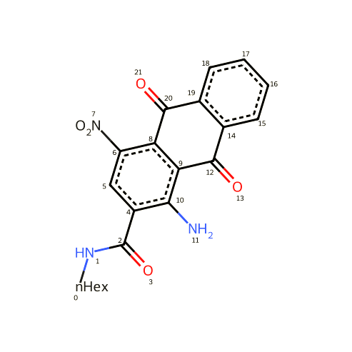 CCCCCCNC(=O)c1cc([N+](=O)[O-])c2c(c1N)C(=O)c1ccccc1C2=O